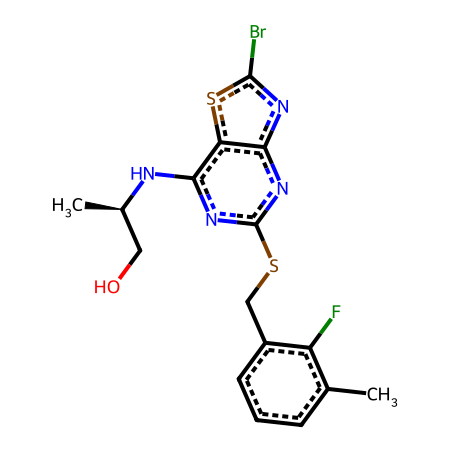 Cc1cccc(CSc2nc(N[C@H](C)CO)c3sc(Br)nc3n2)c1F